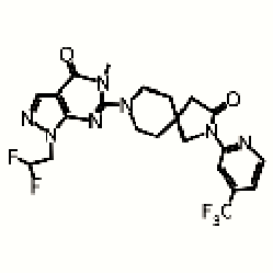 Cn1c(N2CCC3(CC2)CC(=O)N(c2cc(C(F)(F)F)ccn2)C3)nc2c(cnn2CC(F)F)c1=O